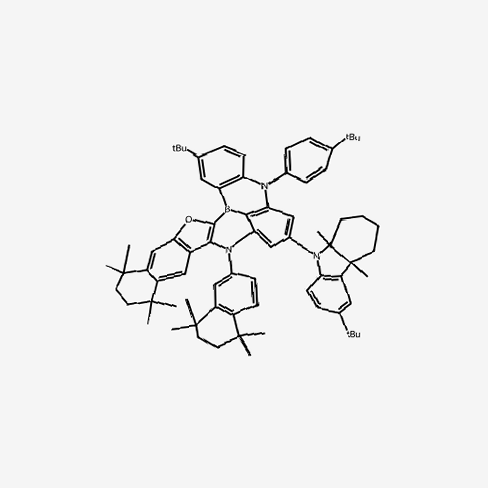 CC(C)(C)c1ccc(N2c3ccc(C(C)(C)C)cc3B3c4oc5cc6c(cc5c4N(c4ccc5c(c4)C(C)(C)CCC5(C)C)c4cc(N5c7ccc(C(C)(C)C)cc7C7(C)CCCCC57C)cc2c43)C(C)(C)CCC6(C)C)cc1